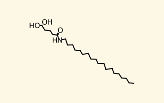 CCCCCCCCCCCCCCCCCCCNC(=O)CCCC(O)O